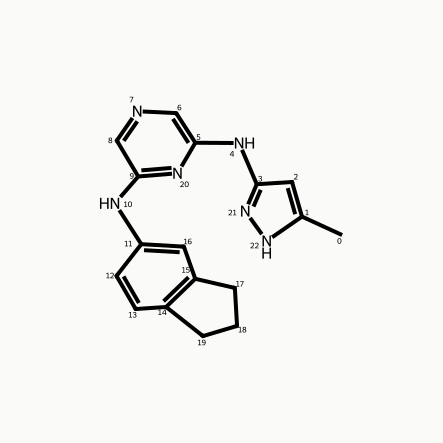 Cc1cc(Nc2cncc(Nc3ccc4c(c3)CCC4)n2)n[nH]1